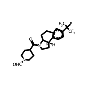 O=CN1CCC(C(=O)N2CC[C@H]3c4ccc(C(F)(C(F)(F)F)C(F)(F)F)cc4CCC32)CC1